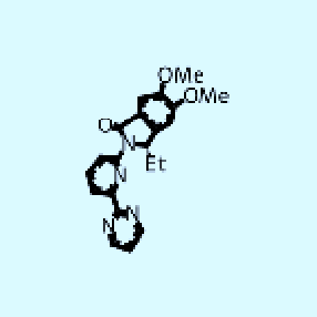 CC[C@H]1c2cc(OC)c(OC)cc2C(=O)N1c1cccc(-c2ncccn2)n1